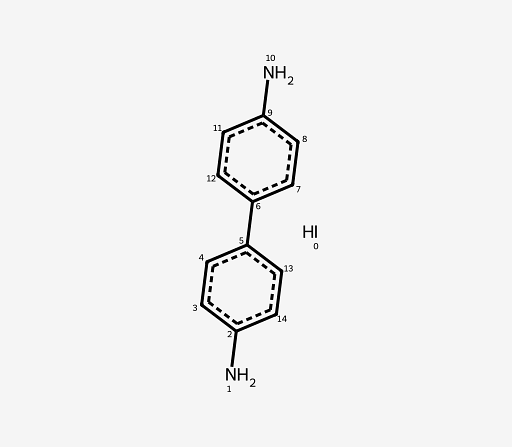 I.Nc1ccc(-c2ccc(N)cc2)cc1